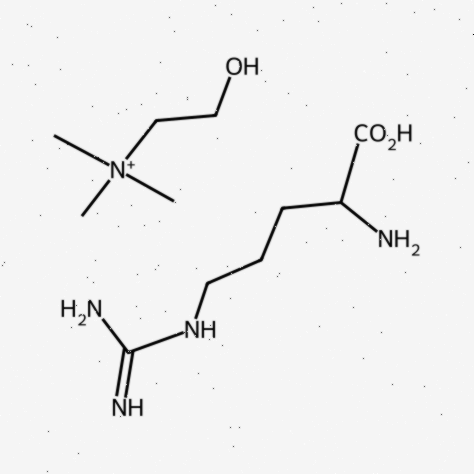 C[N+](C)(C)CCO.N=C(N)NCCCC(N)C(=O)O